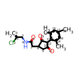 C=C(Cl)CNC(=O)CC1CC(=O)C(c2c(C)cc(C)cc2C)C1=O